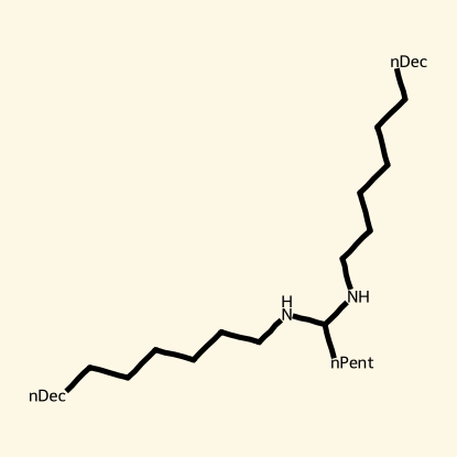 CCCCCCCCCCCCCCCCNC(CCCCC)NCCCCCCCCCCCCCCCC